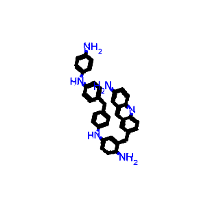 Nc1ccc(Nc2ccc(Cc3ccc(NC4=CCC(N)C(Cc5ccc6nc7ccc(N)cc7cc6c5)=C4)cc3)cc2)cc1